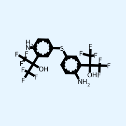 Nc1ccc(Sc2ccc(N)c(C(O)(C(F)(F)F)C(F)(F)F)c2)cc1C(O)(C(F)(F)F)C(F)(F)F